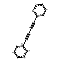 C(C#Cc1ccccn1)#Cc1ccccn1